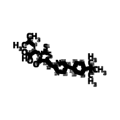 CC(C)C[C@@H](C(=O)O)N1C(=O)C(=Cc2ccc(-c3ccc(C(C)(C)C)cc3)cn2)SC1=S